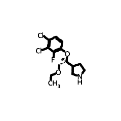 CCOC[C@H](Oc1ccc(Cl)c(Cl)c1F)C1CCNC1